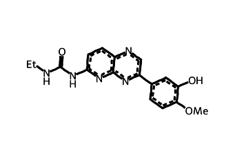 CCNC(=O)Nc1ccc2ncc(-c3ccc(OC)c(O)c3)nc2n1